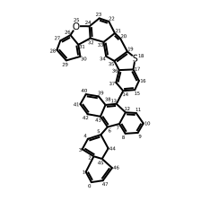 C1=CC2=CC=C(c3c4ccccc4c(-c4ccc5sc6cc7ccc8oc9ccccc9c8c7cc6c5c4)c4ccccc34)CC2C=C1